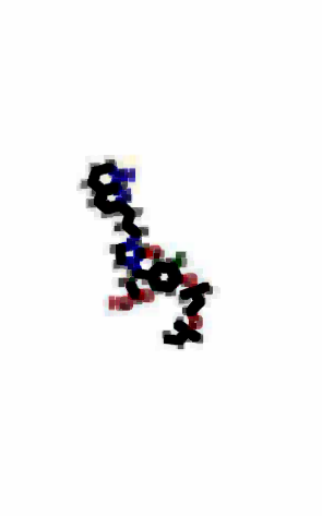 CCC(C)(C)OCCC(C)(C)Oc1ccc([C@H](CC(=O)O)N2CCN(CCCc3ccc4c(n3)NCCC4)C2=O)cc1F